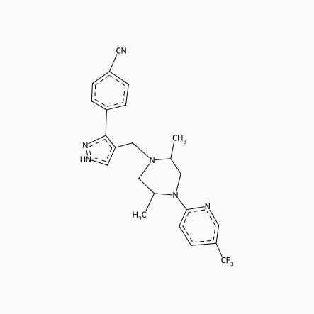 CC1CN(c2ccc(C(F)(F)F)cn2)C(C)CN1Cc1c[nH]nc1-c1ccc(C#N)cc1